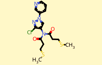 CSCCC(=O)N(C(=O)CCSC)c1cn(-c2cccnc2)nc1Cl